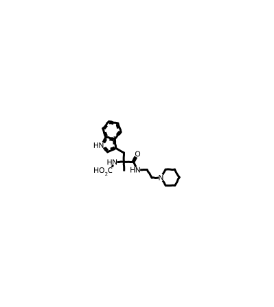 CC(Cc1c[nH]c2ccccc12)(NC(=O)O)C(=O)NCCN1CCCCC1